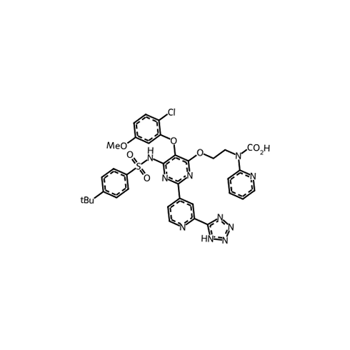 COc1ccc(Cl)c(Oc2c(NS(=O)(=O)c3ccc(C(C)(C)C)cc3)nc(-c3ccnc(-c4nnn[nH]4)c3)nc2OCCN(C(=O)O)c2ccccn2)c1